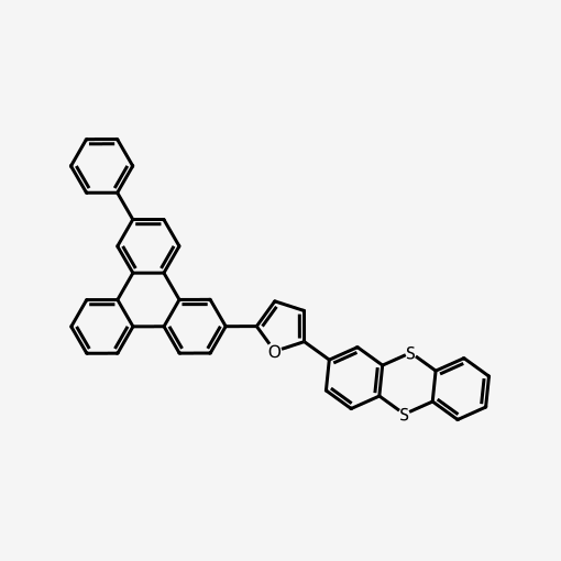 c1ccc(-c2ccc3c(c2)c2ccccc2c2ccc(-c4ccc(-c5ccc6c(c5)Sc5ccccc5S6)o4)cc23)cc1